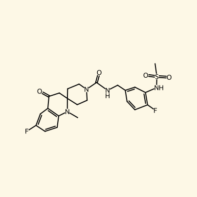 CN1c2ccc(F)cc2C(=O)CC12CCN(C(=O)NCc1ccc(F)c(NS(C)(=O)=O)c1)CC2